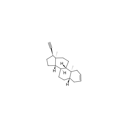 C#C[C@@H]1CC[C@H]2[C@@H]3CC[C@H]4CC=CC[C@]4(C)[C@H]3CC[C@]12C